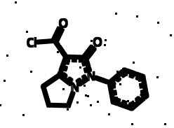 O=C(Cl)c1c2n(n(-c3ccccc3)c1=O)CCC2